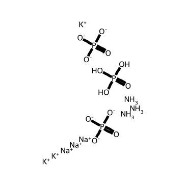 N.N.N.O=P(O)(O)O.O=P([O-])([O-])[O-].O=P([O-])([O-])[O-].[K+].[K+].[K+].[Na+].[Na+].[Na+]